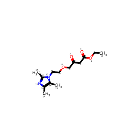 CCOC(=O)CC(=O)COCCn1c(C)nc(C)c1C